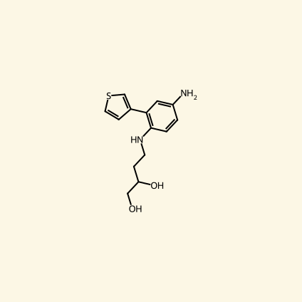 Nc1ccc(NCCC(O)CO)c(-c2ccsc2)c1